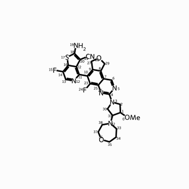 COC1CN(c2ncc3c4c(c(-c5ncc(F)c6sc(N)c(C#N)c56)c(F)c3n2)COC4)CC1N1CCCOCC1